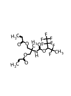 C=CC(=O)OCC(C)(COC(=O)C=C)NC(=O)OC(C(C)(F)F)C(F)(F)C(F)(F)F